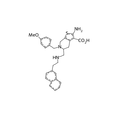 COc1ccc(CN2Cc3sc(N)c(C(=O)O)c3CC2CNCCc2ccc3ccccc3c2)cc1